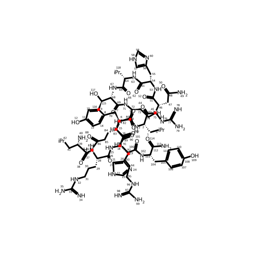 CC(C)C[C@H](NC(=O)[C@H](Cc1ccc(O)cc1)NC(=O)[C@H](Cc1c[nH]cn1)NC(=O)[C@H](CCCNC(=N)N)NC(=O)[C@@H](N)CC(C)C)C(=O)N[C@@H](CC(N)=O)C(=O)N[C@@H](Cc1c[nH]cn1)C(=O)N[C@H](C(=O)N[C@H](C(=O)N[C@@H](CCCNC(=N)N)C(=O)N[C@@H](CCC(N)=O)C(=O)N[C@@H](CCCNC(=N)N)C(=O)N[C@@H](Cc1ccc(O)cc1)C(N)=O)[C@@H](C)O)C(C)C